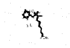 CCCCCCCCCCCCCCCC[C](C)C(C)(O)Cc1ccccc1.N